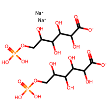 O=C([O-])C(O)C(O)C(O)C(O)COP(=O)(O)O.O=C([O-])C(O)C(O)C(O)C(O)COP(=O)(O)O.[Na+].[Na+]